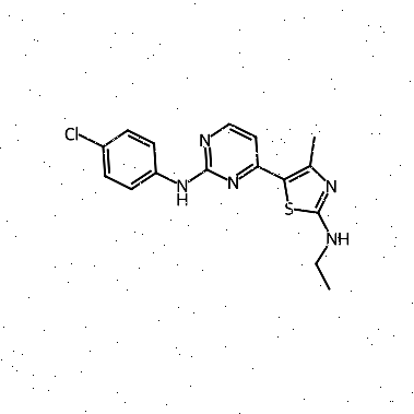 CCNc1nc(C)c(-c2ccnc(Nc3ccc(Cl)cc3)n2)s1